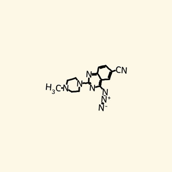 CN1CCN(c2nc(N=[N+]=[N-])c3cc(C#N)ccc3n2)CC1